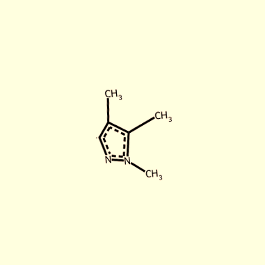 Cc1[c]nn(C)c1C